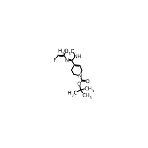 CN/C(=N\C(C)=C/F)C1=CCN(C(=O)OC(C)(C)C)CC1